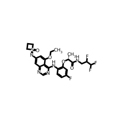 CCOc1cc(N=S2(=O)CCC2)cc2ncnc(Nc3ccc(F)cc3O[C@H](C)C(=O)NCC(F)C(F)F)c12